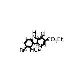 CCOC(=O)c1cnc2c([nH]c3ccc(Br)cc32)c1Cl.Cl